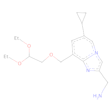 CCOC(COCc1cc(C2CC2)cn2cc(CN)nc12)OCC